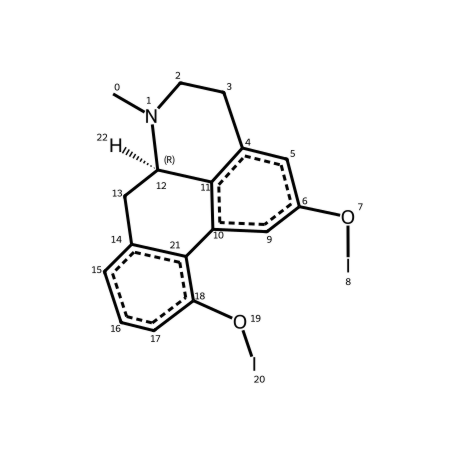 CN1CCc2cc(OI)cc3c2[C@H]1Cc1cccc(OI)c1-3